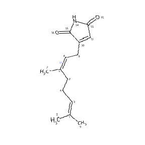 CC(C)=CCC/C(C)=C\CC1=CC(=O)NC1=O